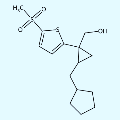 CS(=O)(=O)c1ccc(C2(CO)CC2CC2CCCC2)s1